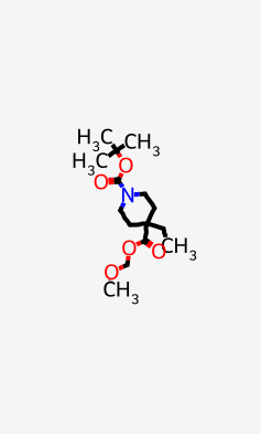 CCC1(C(=O)OCOC)CCN(C(=O)OC(C)(C)C)CC1